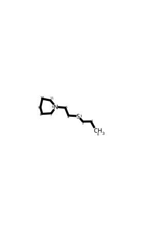 CCCSCCN1CCCCC1